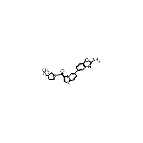 COC1CCN(C(=O)c2cnc3ccc(-c4ccc5oc(N)nc5c4)cn23)C1